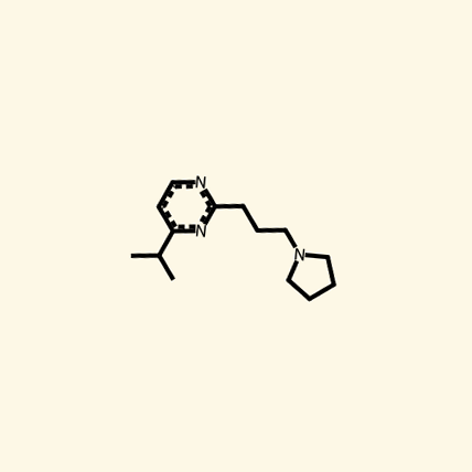 CC(C)c1ccnc(CCCN2CCCC2)n1